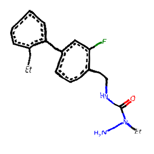 CCc1ccccc1-c1ccc(CNC(=O)N(N)CC)c(F)c1